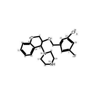 Fc1cc(COC2COc3ccccc3C2N2CCNCC2)cc(C(F)(F)F)c1